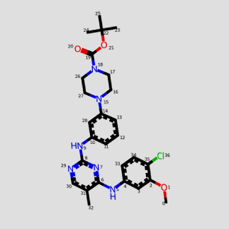 COc1cc(Nc2nc(Nc3cccc(N4CCN(C(=O)OC(C)(C)C)CC4)c3)ncc2C)ccc1Cl